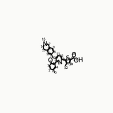 Cc1ccc(OCc2ccc3c(c2)CCN(C)C3)c(-c2cccc(-c3sc(C(=O)O)cc3C)n2)c1